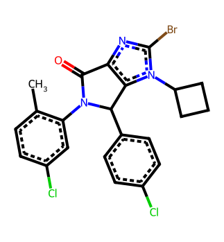 Cc1ccc(Cl)cc1N1C(=O)c2nc(Br)n(C3CCC3)c2C1c1ccc(Cl)cc1